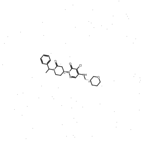 CC(c1ccccc1)N1CC[C@H](n2ncc(NC[C@H]3CCCOC3)c(Cl)c2=O)CC1=O